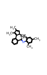 CC1=CC(C)C(c2ccccc2/C(C)=N/c2c(C)cc(C)cc2C)=C1C